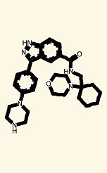 O=C(NCC1(N2CCOCC2)CCCCC1)c1ccc2[nH]nc(-c3ccc(N4CCNCC4)cc3)c2c1